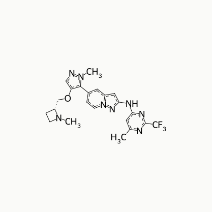 Cc1cc(Nc2cc3cc(-c4c(OC[C@H]5CCN5C)cnn4C)ccn3n2)nc(C(F)(F)F)n1